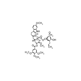 C=CCc1ccccc1O.C=O.COC(=O)[C@H]1[C@H]2C[C@@H]3c4[nH]c5cc(OC)ccc5c4CCN3C[C@H]2C[C@@H](OC(=O)c2cc(OC)c(OC)c(OC)c2)[C@@H]1OC